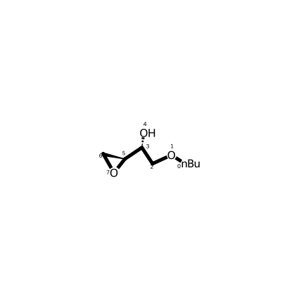 CCCCOC[C@@H](O)[C@@H]1CO1